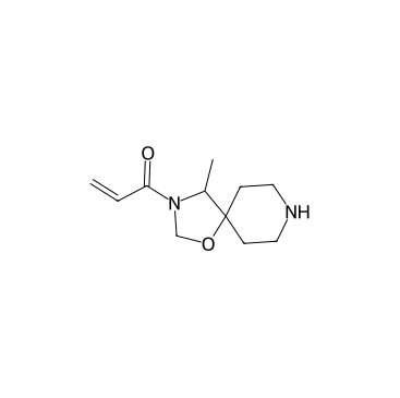 C=CC(=O)N1COC2(CCNCC2)C1C